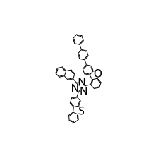 c1ccc(-c2ccc(-c3ccc4c(c3)oc3cccc(-c5nc(-c6ccc7ccccc7c6)nc(-c6ccc7c(c6)sc6ccccc67)n5)c34)cc2)cc1